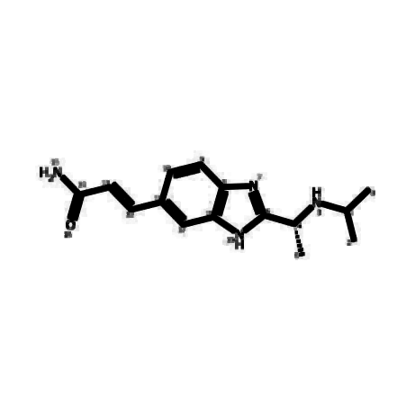 CC(C)N[C@H](C)c1nc2ccc(/C=C/C(N)=O)cc2[nH]1